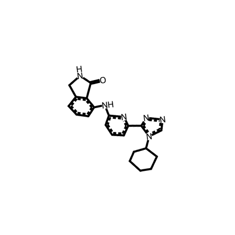 O=C1NCc2cccc(Nc3cccc(-c4nncn4C4CCCCC4)n3)c21